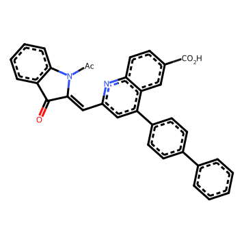 CC(=O)N1/C(=C\c2cc(-c3ccc(-c4ccccc4)cc3)c3cc(C(=O)O)ccc3n2)C(=O)c2ccccc21